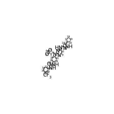 CS(=O)(=O)CCN(c1nccc(Nc2cc(C3CCCC3)[nH]n2)n1)[C@H]1CC[C@H](NC(=O)Nc2cccc(C(F)(F)F)c2)CC1